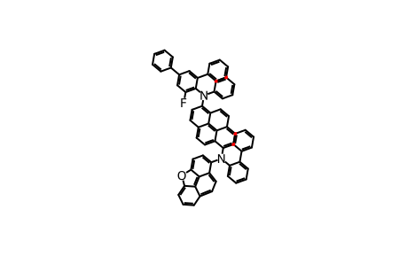 Fc1cc(-c2ccccc2)cc(-c2ccccc2)c1N(c1ccccc1)c1ccc2ccc3c(N(c4ccccc4-c4ccccc4)c4ccc5oc6cccc7ccc4c5c76)ccc4ccc1c2c43